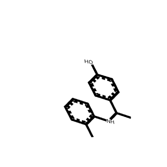 Cc1ccccc1NC(C)c1ccc(O)cc1